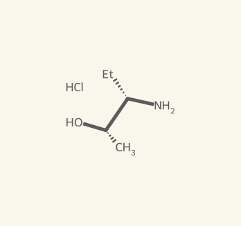 CC[C@H](N)[C@H](C)O.Cl